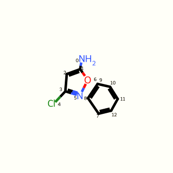 Nc1cc(Cl)no1.c1ccccc1